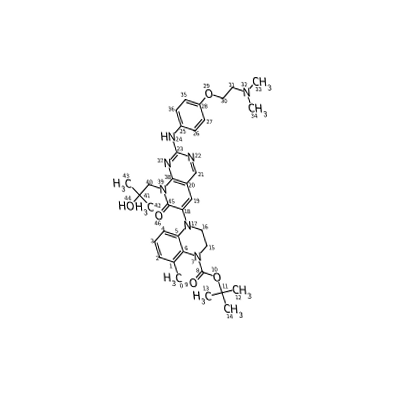 Cc1cccc2c1N(C(=O)OC(C)(C)C)CCN2c1cc2cnc(Nc3ccc(OCCN(C)C)cc3)nc2n(CC(C)(C)O)c1=O